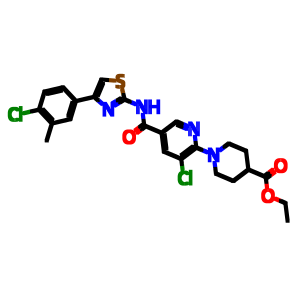 CCOC(=O)C1CCN(c2ncc(C(=O)Nc3nc(-c4ccc(Cl)c(C)c4)cs3)cc2Cl)CC1